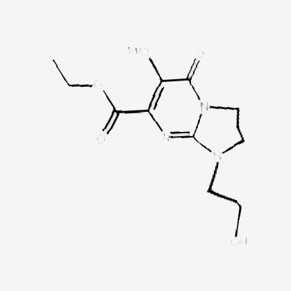 CCOC(=O)c1nc2n(c(=O)c1O)CCN2CCO